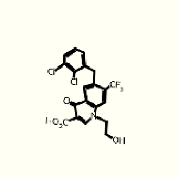 O=C(O)c1cn(CCO)c2cc(C(F)(F)F)c(Cc3cccc(Cl)c3Cl)cc2c1=O